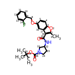 Cc1oc2ccc(OCc3ccccc3F)cc2c1C(=O)NC1CCN(C(=O)OC(C)(C)C)C1